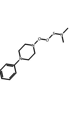 CN(C)SOON1CCN(c2ccccc2)CC1